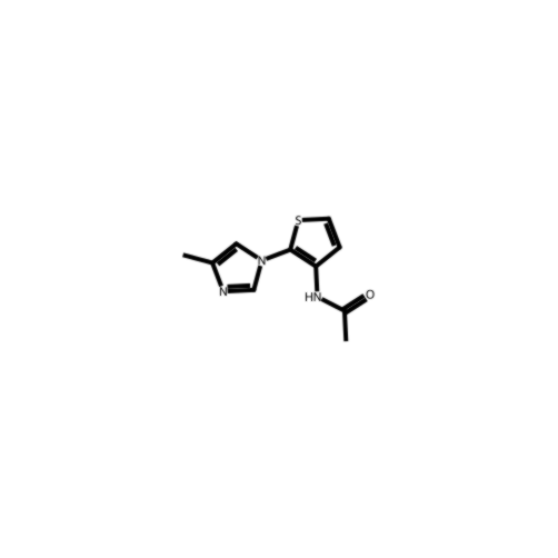 CC(=O)Nc1ccsc1-n1cnc(C)c1